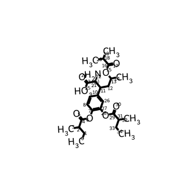 CCC(C)C(=O)Oc1ccc(C(CC(C)OC(=O)C(C)C)[C@H](N)C(=O)O)cc1OC(=O)C(C)CC